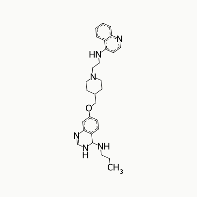 CCCNC1NC=Nc2cc(OCC3CCN(CCNc4ccnc5ccccc45)CC3)ccc21